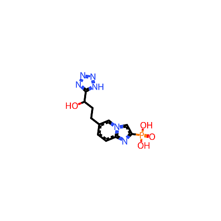 O=P(O)(O)c1cn2cc(CCC(O)c3nnn[nH]3)ccc2n1